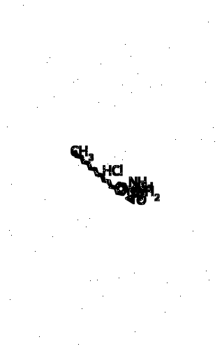 CCCCCCCCCCCCc1ccc(N(C(=N)N)C2(C(N)=O)CC2)cc1.Cl